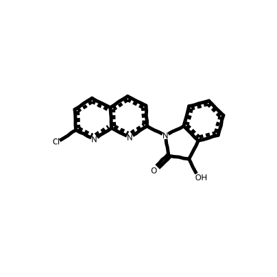 O=C1C(O)c2ccccc2N1c1ccc2ccc(Cl)nc2n1